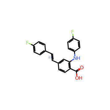 O=C(O)c1ccc(/C=C/c2ccc(F)cc2)cc1Nc1ccc(F)cc1